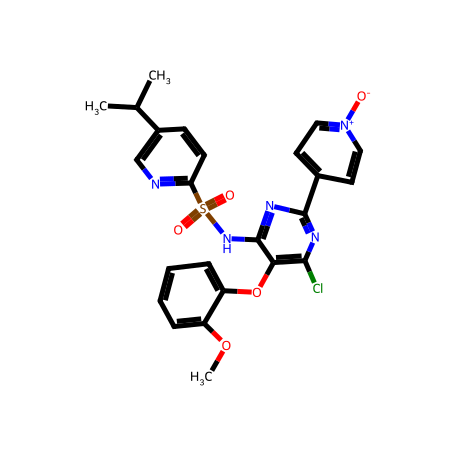 COc1ccccc1Oc1c(Cl)nc(-c2cc[n+]([O-])cc2)nc1NS(=O)(=O)c1ccc(C(C)C)cn1